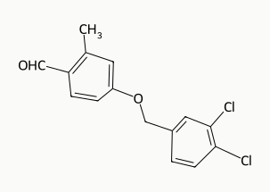 Cc1cc(OCc2ccc(Cl)c(Cl)c2)ccc1C=O